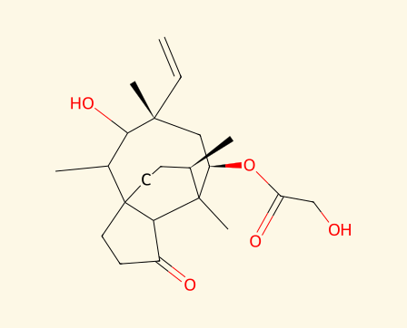 C=C[C@]1(C)C[C@@H](OC(=O)CO)C2(C)C3C(=O)CCC3(CC[C@H]2C)C(C)C1O